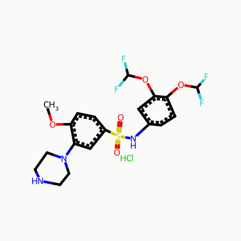 COc1ccc(S(=O)(=O)Nc2ccc(OC(F)F)c(OC(F)F)c2)cc1N1CCNCC1.Cl